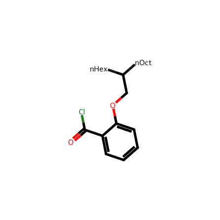 CCCCCCCCC(CCCCCC)COc1ccccc1C(=O)Cl